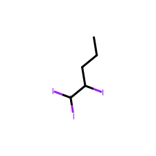 CCCC(I)[C](I)I